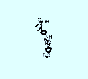 O=C(Nc1ccc(C2CN(C(=O)O)CCO2)cc1)c1ncn(-c2ccc(OC(F)F)cc2)n1